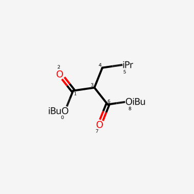 CC(C)COC(=O)C(CC(C)C)C(=O)OCC(C)C